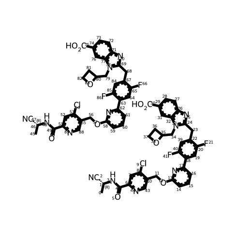 C[C@H](C#N)NC(=O)c1cc(Cl)c(COc2cccc(-c3cc(F)c(Cc4nc5ccc(C(=O)O)cc5n4CC4CCO4)cc3F)n2)cn1.C[C@H](C#N)NC(=O)c1cc(Cl)c(COc2cccc(-c3cc(F)c(Cc4nc5ccc(C(=O)O)cc5n4CC4CCO4)cc3F)n2)cn1